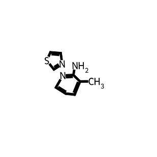 Cc1cccnc1N.c1cscn1